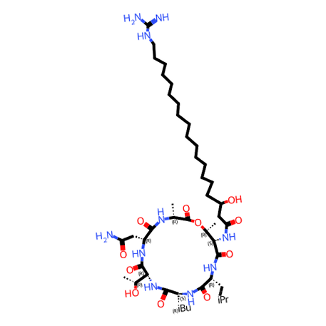 CC[C@@H](C)[C@@H]1NC(=O)[C@@H](CC(C)C)NC(=O)[C@@H](NC(=O)CC(O)CCCCCCCCCCCCCCCCNC(=N)N)[C@@H](C)OC(=O)[C@@H](C)NC(=O)[C@@H](CC(N)=O)NC(=O)[C@@H]([C@@H](C)O)NC1=O